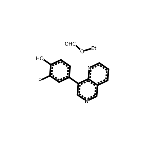 CCOC=O.Oc1ccc(-c2cncc3cccnc23)cc1F